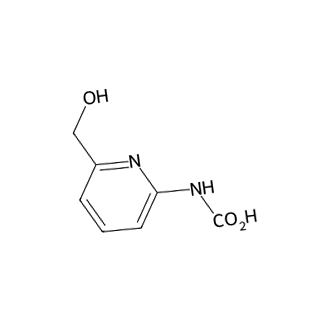 O=C(O)Nc1cccc(CO)n1